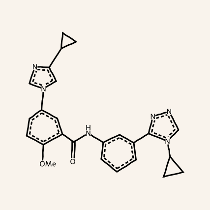 COc1ccc(-n2cnc(C3CC3)c2)cc1C(=O)Nc1cccc(-c2nncn2C2CC2)c1